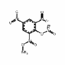 NO[N+](=O)c1cc([N+](=O)[O-])cc([N+](=O)[O-])c1O[SH](=O)=O